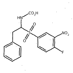 O=C(O)NC(Cc1ccccc1)S(=O)(=O)c1ccc(F)c([N+](=O)[O-])c1